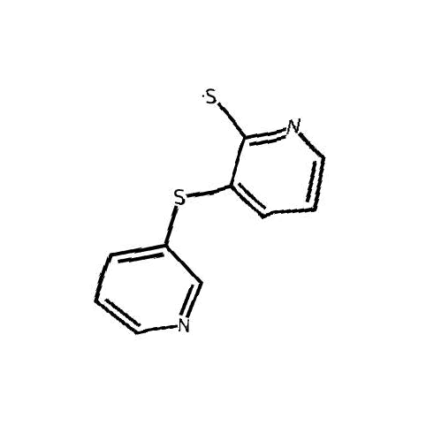 [S]c1ncccc1Sc1cccnc1